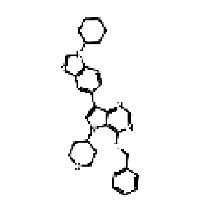 c1ccc(COc2ncnc3c(-c4ccc5c(c4)ncn5C4CCCCC4)cn(C4CCOCC4)c23)cc1